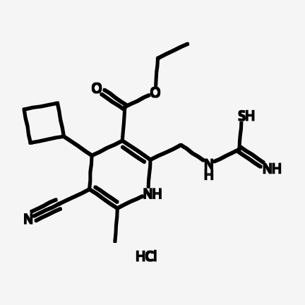 CCOC(=O)C1=C(CNC(=N)S)NC(C)=C(C#N)C1C1CCC1.Cl